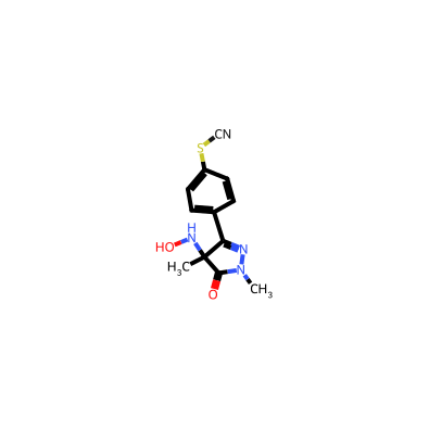 CN1N=C(c2ccc(SC#N)cc2)C(C)(NO)C1=O